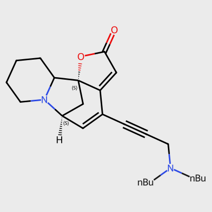 CCCCN(CC#CC1=C[C@@H]2C[C@@]3(OC(=O)C=C13)C1CCCCN12)CCCC